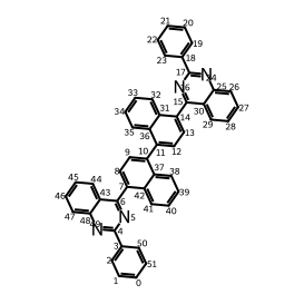 c1ccc(-c2nc(-c3ccc(-c4ccc(-c5nc(-c6ccccc6)nc6ccccc56)c5ccccc45)c4ccccc34)c3ccccc3n2)cc1